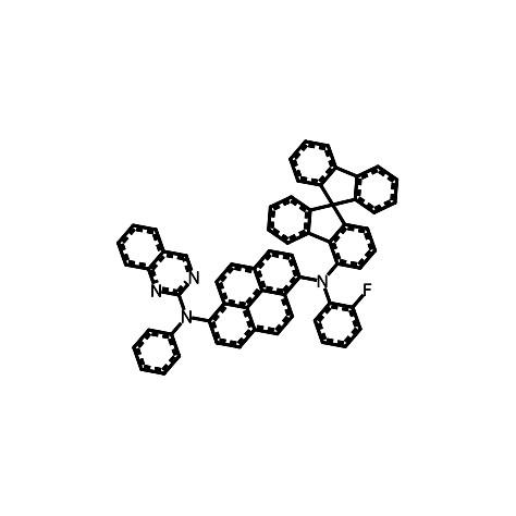 Fc1ccccc1N(c1cccc2c1-c1ccccc1C21c2ccccc2-c2ccccc21)c1ccc2ccc3c(N(c4ccccc4)c4ncc5ccccc5n4)ccc4ccc1c2c43